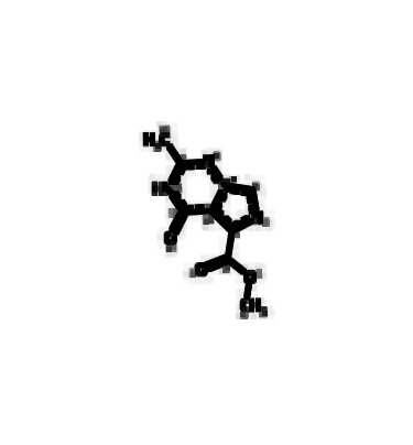 COC(=O)c1ncn2nc(C)[nH]c(=O)c12